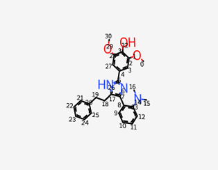 COc1cc(-c2nc(-c3ccccc3N(C)C)c(CCc3ccccc3)[nH]2)cc(OC)c1O